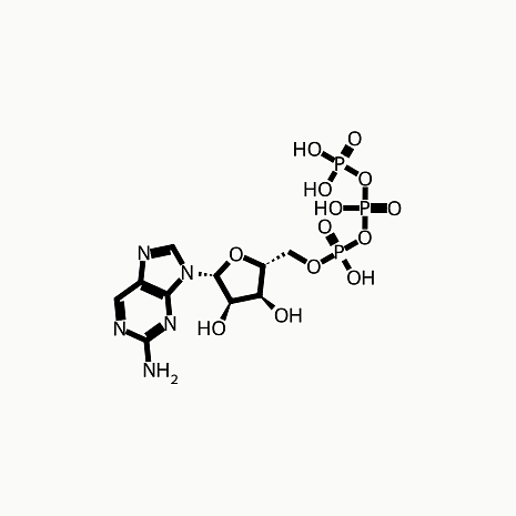 Nc1ncc2ncn([C@@H]3O[C@H](COP(=O)(O)OP(=O)(O)OP(=O)(O)O)[C@@H](O)[C@H]3O)c2n1